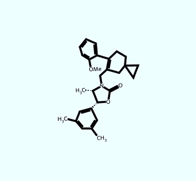 COc1ccccc1C1=C(CN2C(=O)O[C@H](c3cc(C)cc(C)c3)[C@@H]2C)CC2(CC1)CC2